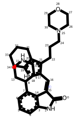 O=C1Nc2cccc(C3CCNCC3)c2/C1=C\c1[nH]c2c(c1CCCN1CCOCC1)CCCC2